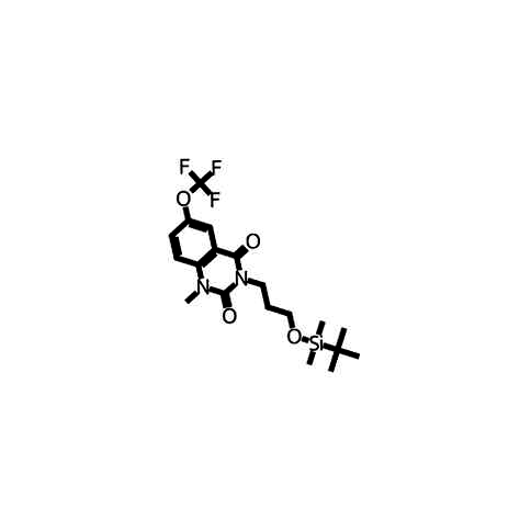 Cn1c(=O)n(CCCO[Si](C)(C)C(C)(C)C)c(=O)c2cc(OC(F)(F)F)ccc21